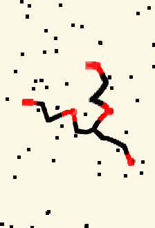 [O]CCC(COCCO)OCCO